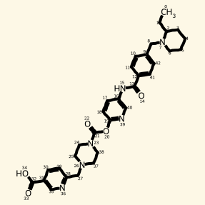 CCC1CCCCN1Cc1ccc(C(=O)Nc2ccc(OC(=O)N3CCN(Cc4ccc(C(=O)O)cn4)CC3)nc2)cc1